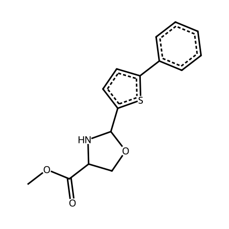 COC(=O)C1COC(c2ccc(-c3ccccc3)s2)N1